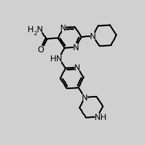 NC(=O)c1ncc(N2CCCCC2)nc1Nc1ccc(N2CCNCC2)cn1